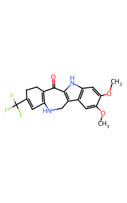 COc1cc2[nH]c3c(c2cc1OC)CNC1=C(CCC(C(F)(F)F)=C1)C3=O